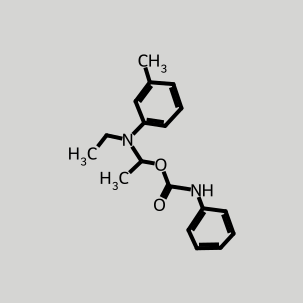 CCN(c1cccc(C)c1)C(C)OC(=O)Nc1ccccc1